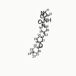 Cc1noc(NC(=O)N2CCC(=Cc3cccc(OC4CCC(C)(C)CC4)c3)CC2)c1C